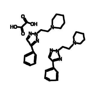 O=C(O)C(=O)O.c1ccc(-c2cnn(CCN3CCCCC3)n2)cc1.c1ccc(-c2cnn(CCN3CCCCC3)n2)cc1